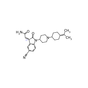 CC(C)=C1CCC(N2CCC(N3C(=O)/C(=C\C(N)=O)c4cc(C#N)ccc43)CC2)CC1